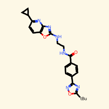 CC(C)(C)c1nc(-c2ccc(C(=O)NCCNc3nc4nc(C5CC5)ccc4o3)cc2)no1